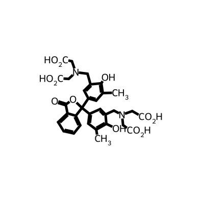 Cc1cc(C2(c3cc(C)c(O)c(CN(CC(=O)O)CC(=O)O)c3)OC(=O)c3ccccc32)cc(CN(CC(=O)O)CC(=O)O)c1O